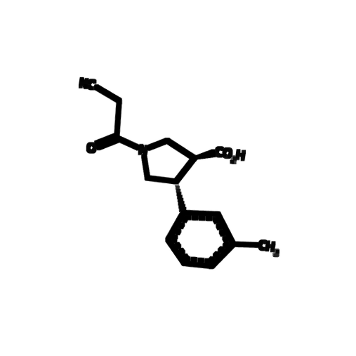 Cc1cccc([C@@H]2CN(C(=O)CC#N)C[C@H]2C(=O)O)c1